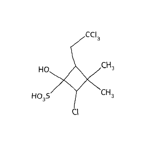 CC1(C)C(Cl)C(O)(S(=O)(=O)O)C1CC(Cl)(Cl)Cl